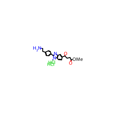 COC(=O)CCC(=O)c1ccc2c(c1)nc(-c1ccc(CCN)cc1)n2C.Cl.Cl